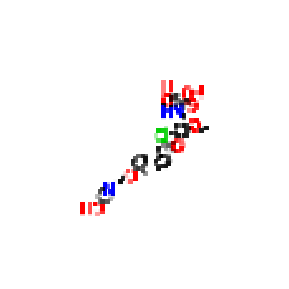 CCOc1cc(O[C@H]2CCc3c(-c4cccc(OCCCN5CCC(O)CC5)c4C)cccc32)c(Cl)cc1CN[C@H](C(=O)O)[C@@H](C)O